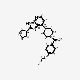 O=C(c1ccc(OCF)cc1)N1CCC(c2ccnc3[nH]c(C4CCOC4)nc23)CC1